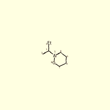 CC[CH](C)[Al]1[CH2]CCC[O]1